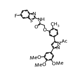 COc1cc(-c2cc(-c3ccc(C)c(OCC(=O)Nc4nc5ccc(F)cc5s4)c3)n(C(C)=O)n2)cc(OC)c1OC